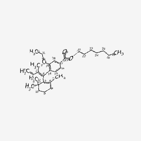 C=CC(C)=C(C1=C(C)CCCC1(C)C)c1ccc(C(=O)OCCCCCCC)cc1OCC